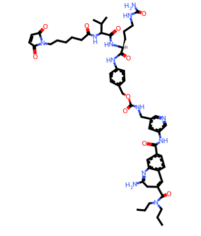 CCCN(CCC)C(=O)C1=Cc2ccc(C(=O)Nc3cncc(CNC(=O)OCc4ccc(NC(=O)[C@H](CCCNC(N)=O)NC(=O)C(NC(=O)CCCCCN5C(=O)C=CC5=O)C(C)C)cc4)c3)cc2N=C(N)C1